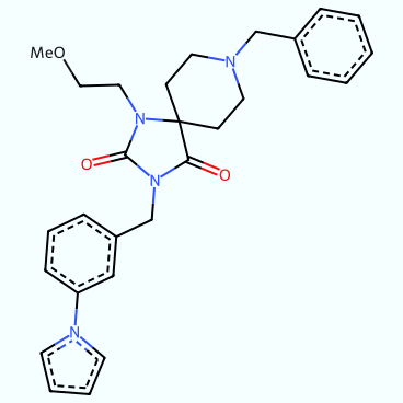 COCCN1C(=O)N(Cc2cccc(-n3cccc3)c2)C(=O)C12CCN(Cc1ccccc1)CC2